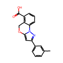 Cc1cccc(-c2cc3n(n2)-c2cccc(C(=O)O)c2CO3)c1